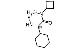 CCN[C@H](C(=O)N(C)C1CCC1)C1CCCCC1